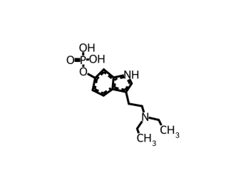 CCN(CC)CCc1c[nH]c2cc(OP(=O)(O)O)ccc12